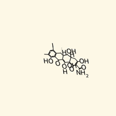 Cc1cc(I)c2c(c1O)C(=O)C1=C(O)[C@]3(O)C(=O)C(C(N)=O)=C(O)C[C@@H]3[C@@H](O)[C@@H]1[C@H]2C